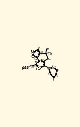 CSc1sc(-c2ccccn2)c2c1-c1oncc1C(C)(C)C2